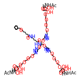 CC(=O)N[C@H]1[C@H]2OC[C@@](COCCOCCOCCOCCn3cc(COCC(COCc4cn(CCOCCOCCOCCOC[C@]56CO[C@@H](O5)[C@H](NC(C)=O)[C@@H](O)[C@H]6O)nn4)(COCc4cn(CCOCCOCCOCCOC[C@]56CO[C@@H](O5)[C@H](NC(C)=O)[C@@H](O)[C@H]6O)nn4)NC(=O)CCCCCNC(=O)CCCCCOCc4ccccc4)nn3)(O2)[C@H](O)[C@@H]1O